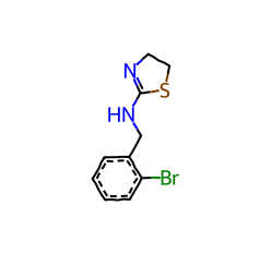 Brc1ccccc1CNC1=NCCS1